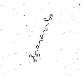 CC(C)OC(=O)CCOCCOOCCOCCNC(=O)C(C)C